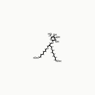 CCCCCCCCCCCCCCCCSCC(CO[C@@H]1O[C@H](CO)[C@@H](O)[C@H](O)[C@H]1O)CSCCCCCCCCCCCCCCCC